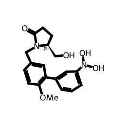 COc1ccc(CN2C(=O)CC[C@H]2CO)cc1-c1cccc(N(O)O)c1